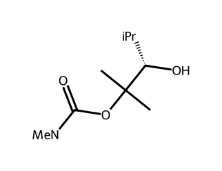 CNC(=O)OC(C)(C)[C@@H](O)C(C)C